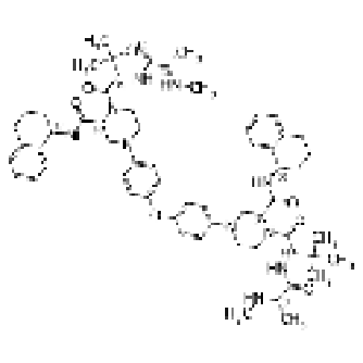 CN[C@@H](C)C(=O)N[C@H](C(=O)N1CCN(c2ccc(Oc3ccc(N4CCN(C(=O)[C@@H](NC(=O)[C@H](C)NC)C(C)(C)C)[C@H](C(=O)N[C@@H]5CCCc6ccccc65)C4)cc3)cc2)C[C@H]1C(=O)N[C@@H]1CCCc2ccccc21)C(C)(C)C